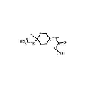 CC(C)(C)OC(=O)NC1CCC(I)(CS(=O)(=O)O)CC1